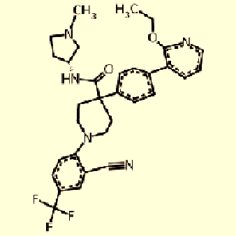 CCOc1ncccc1-c1ccc(C2(C(=O)N[C@@H]3CCN(C)C3)CCN(c3ccc(C(F)(F)F)cc3C#N)CC2)cc1